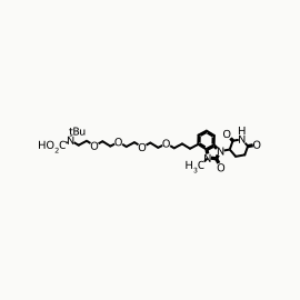 Cn1c(=O)n(C2CCC(=O)NC2=O)c2cccc(CCCOCCOCCOCCOCCN(C(=O)O)C(C)(C)C)c21